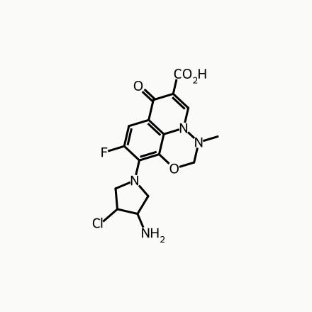 CN1COc2c(N3CC(N)C(Cl)C3)c(F)cc3c(=O)c(C(=O)O)cn1c23